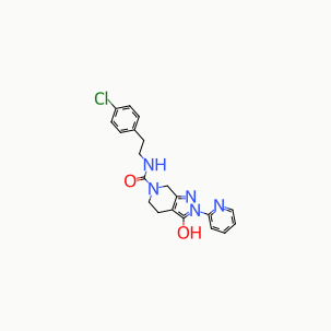 O=C(NCCc1ccc(Cl)cc1)N1CCc2c(nn(-c3ccccn3)c2O)C1